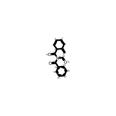 C=C1C=CC=CC1C(=O)N(C=O)C(=O)c1ccccc1